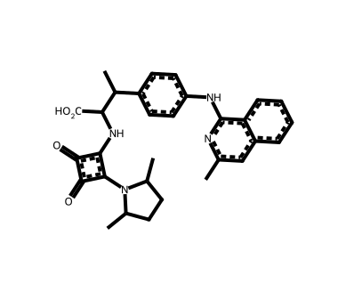 Cc1cc2ccccc2c(Nc2ccc(C(C)C(Nc3c(N4C(C)CCC4C)c(=O)c3=O)C(=O)O)cc2)n1